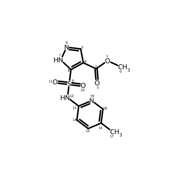 COC(=O)c1cn[nH]c1S(=O)(=O)Nc1ccc(C)cn1